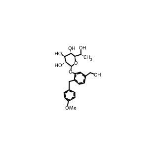 COc1ccc(Cc2ccc(CO)cc2O[C@@H]2O[C@H]([C@@H](C)O)[C@@H](O)[C@H](O)[C@H]2O)cc1